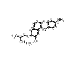 COc1cc2c(Oc3ccc(N)cc3F)ccnc2cc1OCC(C)O